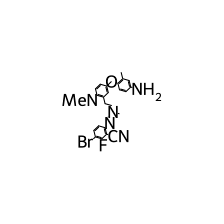 CNc1ccc(Oc2ccc(N)cc2C)cc1CCN(C)/C=N/c1ccc(Br)c(F)c1C#N